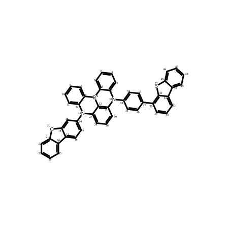 c1ccc2c(c1)B1c3ccccc3N(c3ccc4c(c3)oc3ccccc34)c3cccc(c31)N2c1ccc(-c2cccc3c2sc2ccccc23)cc1